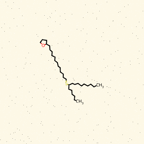 CCCCCCCCCC(CCCCCC)SCCCCCCCCCCCCCC1CCCO1